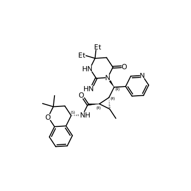 CCC1(CC)CC(=O)N([C@@H](c2cccnc2)[C@@H]2C(C)[C@H]2C(=O)N[C@H]2CC(C)(C)Oc3ccccc32)C(=N)N1